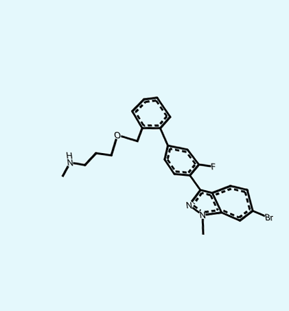 CNCCCOCc1ccccc1-c1ccc(-c2nn(C)c3cc(Br)ccc23)c(F)c1